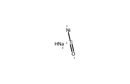 [NaH].[O]=[Ti][Ni]